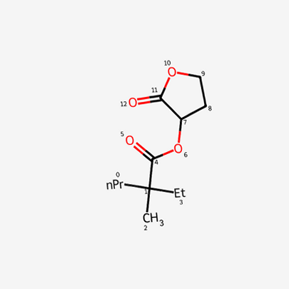 CCCC(C)(CC)C(=O)OC1CCOC1=O